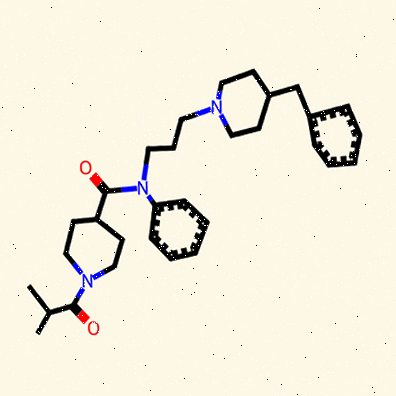 CC(C)C(=O)N1CCC(C(=O)N(CCCN2CCC(Cc3ccccc3)CC2)c2ccccc2)CC1